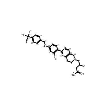 CC(CC(=O)O)CN1CCc2nc(-c3ccc(OCc4ccc(C(F)(F)F)cc4)cc3F)ncc2C1